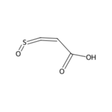 O=S=C=CC(=O)O